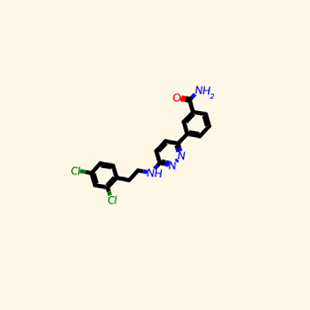 NC(=O)c1cccc(-c2ccc(NCCc3ccc(Cl)cc3Cl)nn2)c1